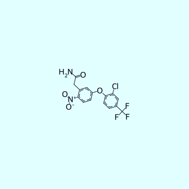 NC(=O)Cc1cc(Oc2ccc(C(F)(F)F)cc2Cl)ccc1[N+](=O)[O-]